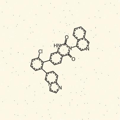 O=c1[nH]c2cc(-c3c(Cl)cccc3-c3ccc4nccn4c3)ccc2c(=O)n1-c1cncc2ccccc12